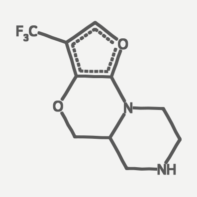 FC(F)(F)c1coc2c1OCC1CNCCN21